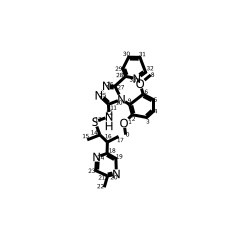 COc1cccc(OC)c1-n1c(NSC(C)C(C)c2cnc(C)cn2)nnc1-c1ccccn1